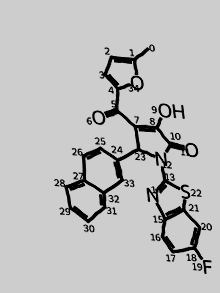 Cc1ccc(C(=O)C2=C(O)C(=O)N(c3nc4ccc(F)cc4s3)C2c2ccc3ccccc3c2)o1